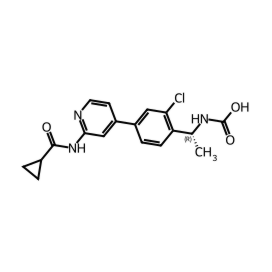 C[C@@H](NC(=O)O)c1ccc(-c2ccnc(NC(=O)C3CC3)c2)cc1Cl